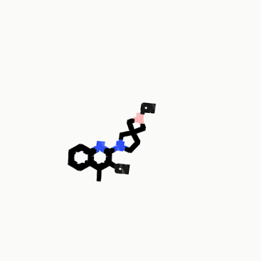 Cc1c(C#N)c(N2CCC3(CB(C#N)C3)C2)nc2ccccc12